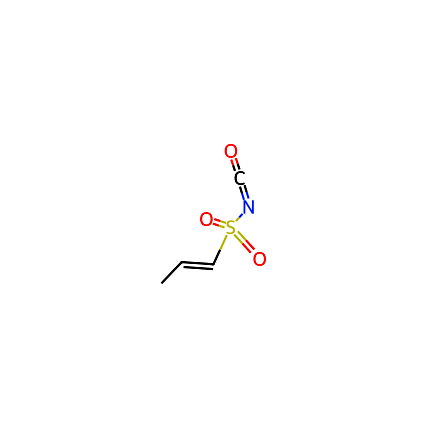 CC=CS(=O)(=O)N=C=O